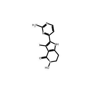 Nc1nccc(-c2[nH]c3c(c2I)C(=O)N(O)CC3)n1